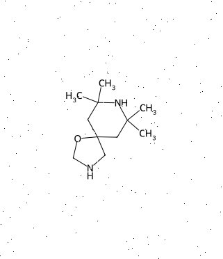 CC1(C)CC2(CNCO2)CC(C)(C)N1